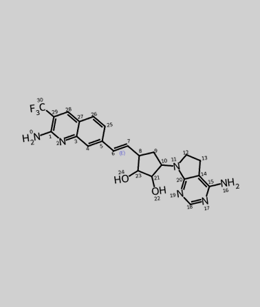 Nc1nc2cc(/C=C/C3CC(N4CCc5c(N)ncnc54)C(O)C3O)ccc2cc1C(F)(F)F